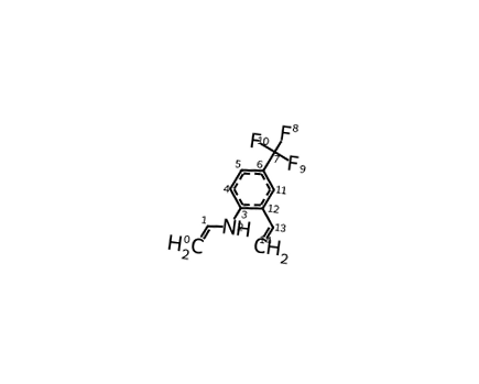 C=CNc1ccc(C(F)(F)F)cc1C=C